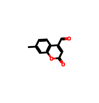 Cc1ccc2c(C=O)cc(=O)oc2c1